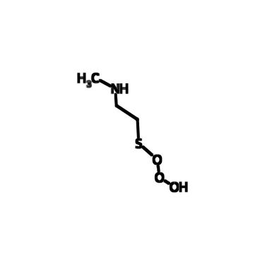 CNCCSOOO